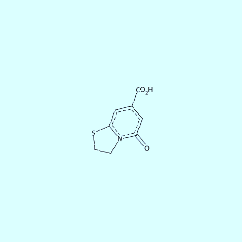 O=C(O)c1cc2n(c(=O)c1)CCS2